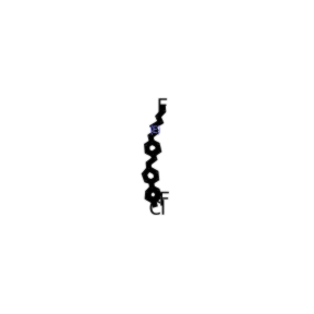 FCCC/C=C/CC1CC=C(CCC2CCC(c3ccc(Cl)c(F)c3)CC2)CC1